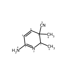 CC1N=C(N)C=CC1(C)C#N